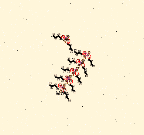 CCCCOP(=S)([S-])OCCCC.CCCCOP(=S)([S-])OCCCC.CCCCOP(=S)([S-])OCCCC.CCCCOP(=S)([S-])OCCCC.CCCCOP(=S)([S-])OCCCC.CCCCOP(=S)([S-])OCCCC.[Mo+6]